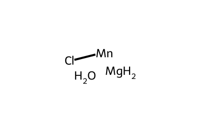 O.[Cl][Mn].[MgH2]